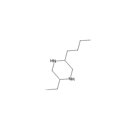 [CH2]CC1CNC(CCCC)CN1